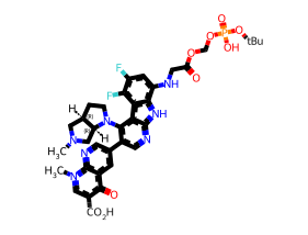 CN1C[C@H]2CCN(c3c(-c4cnc5c(c4)c(=O)c(C(=O)O)cn5C)cnc4[nH]c5c(NCC(=O)OCOP(=O)(O)OC(C)(C)C)cc(F)c(F)c5c34)[C@H]2C1